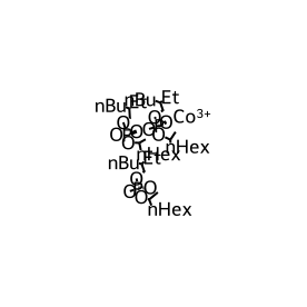 CCCCCCC(C)OP(=O)([O-])OCC(CC)CCCC.CCCCCCC(C)OP(=O)([O-])OCC(CC)CCCC.CCCCCCC(C)OP(=O)([O-])OCC(CC)CCCC.[Co+3]